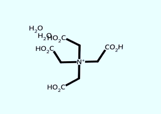 O.O.O=C(O)C[N+](CC(=O)O)(CC(=O)O)CC(=O)O